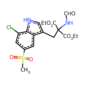 CCOC(=O)C(Cc1c[nH]c2c(Cl)cc(S(C)(=O)=O)cc12)(NC=O)C(=O)OCC